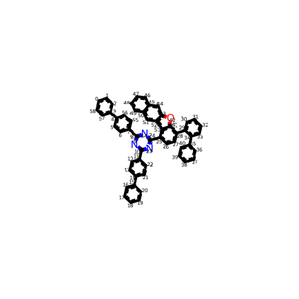 c1ccc(-c2ccc(-c3nc(-c4ccc(-c5ccccc5)cc4)nc(-c4ccc(-c5ccccc5-c5ccccc5)c5oc6cc7ccccc7cc6c45)n3)cc2)cc1